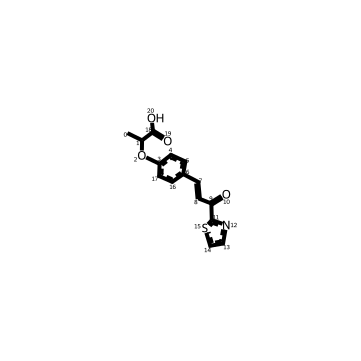 CC(Oc1ccc(C=CC(=O)c2nccs2)cc1)C(=O)O